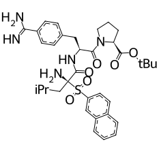 CC(C)C[C@](N)(C(=O)N[C@@H](Cc1ccc(C(=N)N)cc1)C(=O)N1CCC[C@H]1C(=O)OC(C)(C)C)S(=O)(=O)c1ccc2ccccc2c1